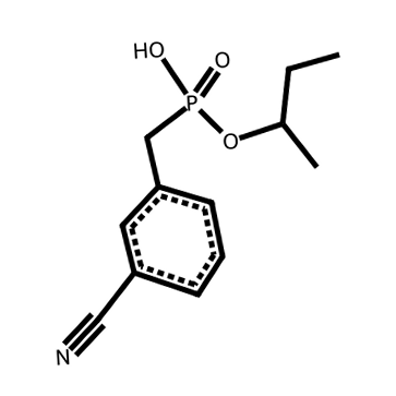 CCC(C)OP(=O)(O)Cc1cccc(C#N)c1